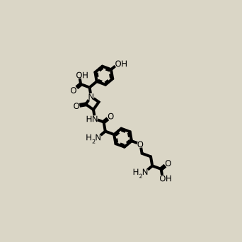 NC(CCOc1ccc(C(N)C(=O)NC2CN(C(C(=O)O)c3ccc(O)cc3)C2=O)cc1)C(=O)O